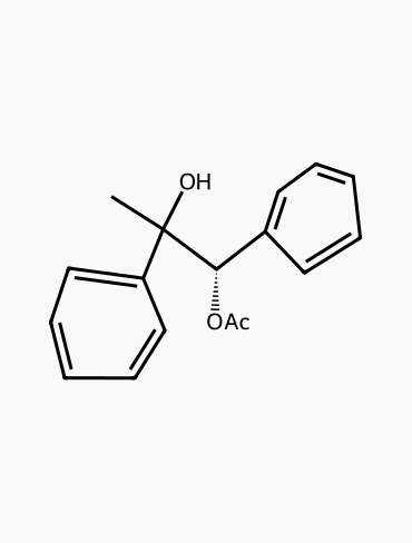 CC(=O)O[C@@H](c1ccccc1)C(C)(O)c1ccccc1